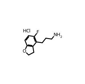 Cl.NCCCc1c(F)ccc2c1CCO2